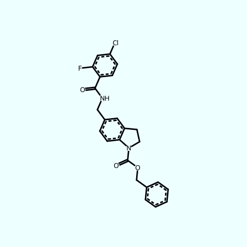 O=C(NCc1ccc2c(c1)CCN2C(=O)OCc1ccccc1)c1ccc(Cl)cc1F